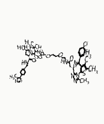 Cc1ncsc1-c1ccc(CNC(=O)[C@@H]2C[C@@H](O)CN2C(=O)C(NC(=O)COCCOCCNC(=O)C[C@@H]2N=C(c3ccc(Cl)cc3)c3c(sc(C)c3C)-n3c(C)nnc32)C(C)(C)C)cc1